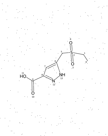 CCS(=O)(=O)Cc1cc(C(=O)O)n[nH]1